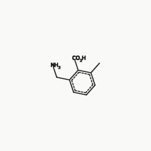 Cc1cccc(CN)c1C(=O)O